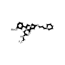 COc1cccc(-c2cn3cc(OCCCN4CCCCC4)cc3c(=O)n2CC(=O)NCC(F)(F)F)c1